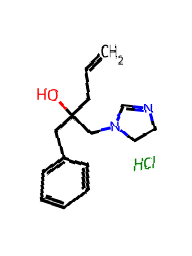 C=CCC(O)(Cc1ccccc1)CN1C=NCC1.Cl